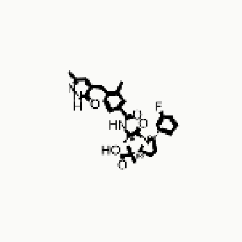 Cc1cc(Cc2ccc(C(=O)N[C@H](C)C(=O)N3[C@H](c4cccc(F)c4)CC[C@@H]3C(C)(C)C(=O)O)cc2C)c(=O)[nH]n1